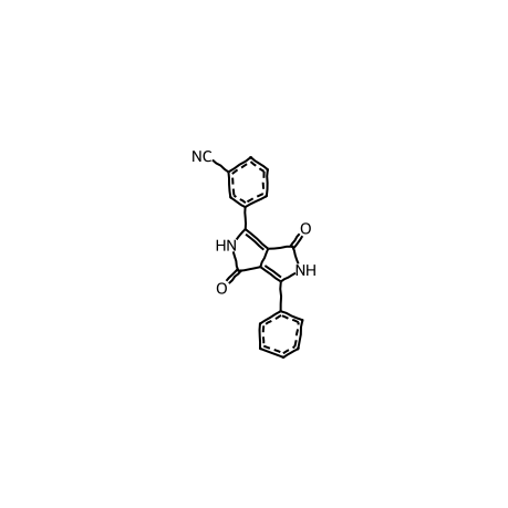 N#Cc1cccc(C2=C3C(=O)NC(c4ccccc4)=C3C(=O)N2)c1